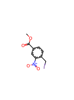 COC(=O)c1ccc(CI)c([N+](=O)[O-])c1